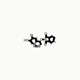 COCC(ON1C(=O)c2ccccc2C1=O)c1cc(=O)c(O)cn1O